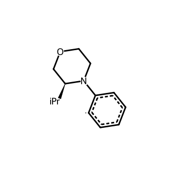 CC(C)[C@H]1COCCN1c1[c]cccc1